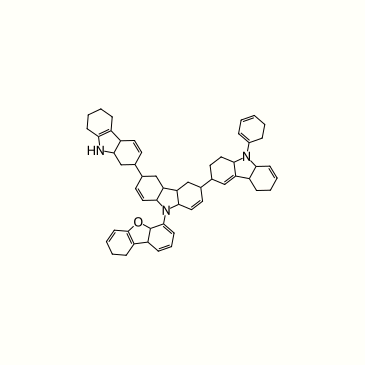 C1=CCCC(N2C3CCC(C4C=CC5C(C4)C4CC(C6C=CC7C8=C(CCCC8)NC7C6)C=CC4N5C4=CC=CC5C6=C(C=CCC6)OC45)C=C3C3CCC=CC32)=C1